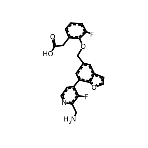 NCc1nccc(-c2cc(COc3c(F)cccc3CC(=O)O)cc3ccoc23)c1F